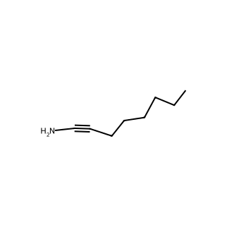 CCCCCCC#CN